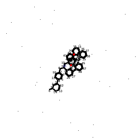 CC1C=C(c2ccc(C/C(=C/c3ccc4sc5ccccc5c4c3)c3cccc4c3sc3c(N(c5ccccc5)c5ccccc5)cccc34)cc2)C=CC1